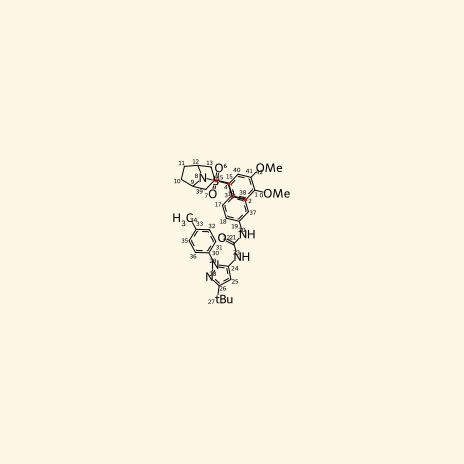 COc1ccc(S(=O)(=O)N2C3CCC2CC(Cc2ccc(NC(=O)Nc4cc(C(C)(C)C)nn4-c4ccc(C)cc4)cc2)C3)cc1OC